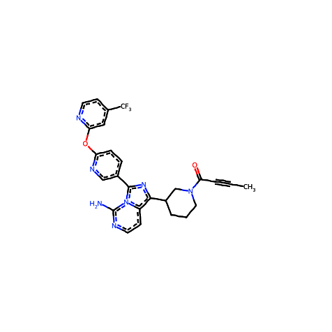 CC#CC(=O)N1CCCC(c2nc(-c3ccc(Oc4cc(C(F)(F)F)ccn4)nc3)n3c(N)nccc23)C1